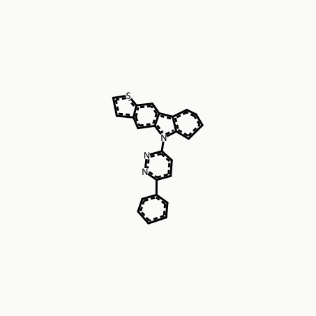 c1ccc(-c2ccc(-n3c4ccccc4c4cc5sccc5cc43)nn2)cc1